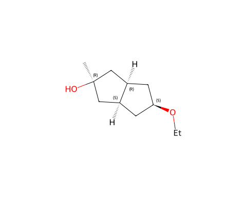 CCO[C@@H]1C[C@@H]2C[C@](C)(O)C[C@@H]2C1